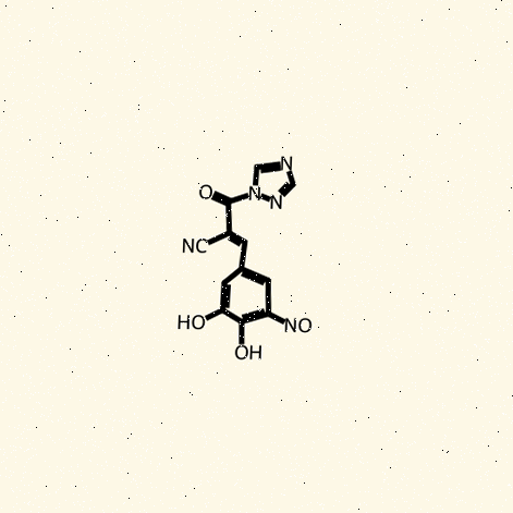 N#C/C(=C\c1cc(O)c(O)c(N=O)c1)C(=O)n1cncn1